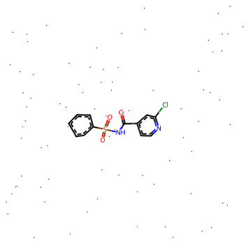 O=C(NS(=O)(=O)c1ccccc1)c1ccnc(Cl)c1